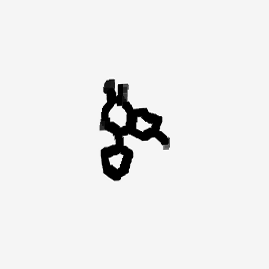 O=C1CN=C(c2ccccc2)c2cc(I)ccc2N1